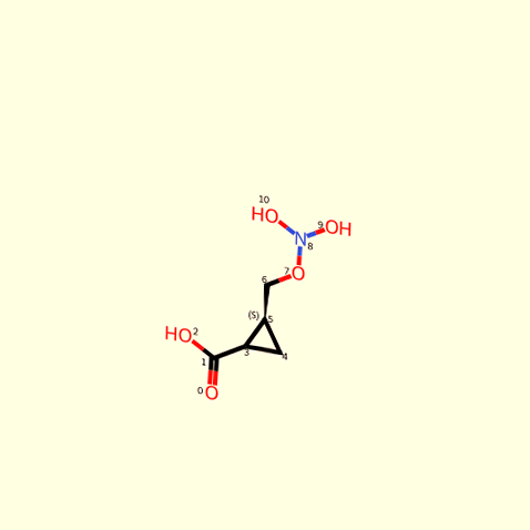 O=C(O)C1C[C@@H]1CON(O)O